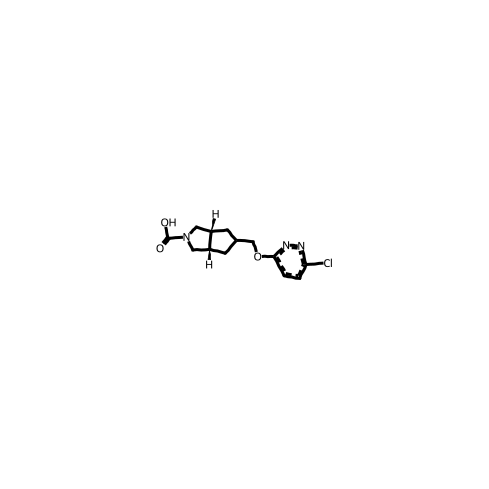 O=C(O)N1C[C@H]2CC(COc3ccc(Cl)nn3)C[C@H]2C1